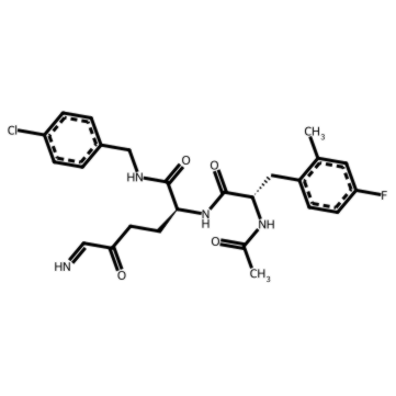 CC(=O)N[C@@H](Cc1ccc(F)cc1C)C(=O)N[C@@H](CCC(=O)C=N)C(=O)NCc1ccc(Cl)cc1